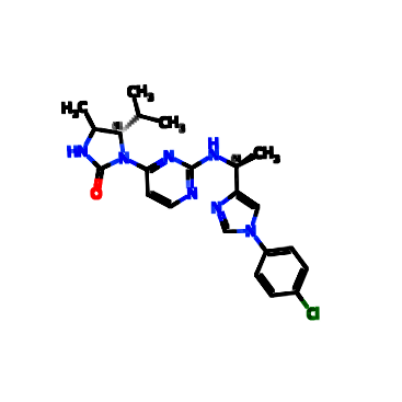 CC(C)[C@H]1C(C)NC(=O)N1c1ccnc(N[C@@H](C)c2cn(-c3ccc(Cl)cc3)cn2)n1